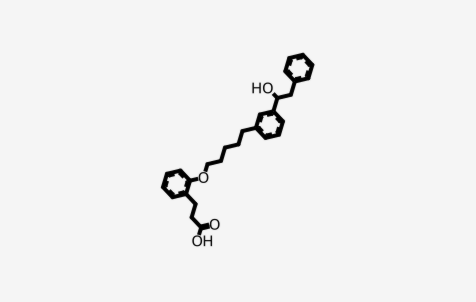 O=C(O)CCc1ccccc1OCCCCCc1cccc(C(O)Cc2ccccc2)c1